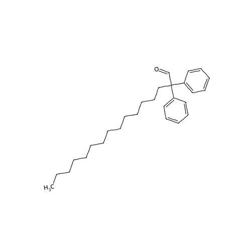 CCCCCCCCCCCCCCC(C=O)(c1ccccc1)c1ccccc1